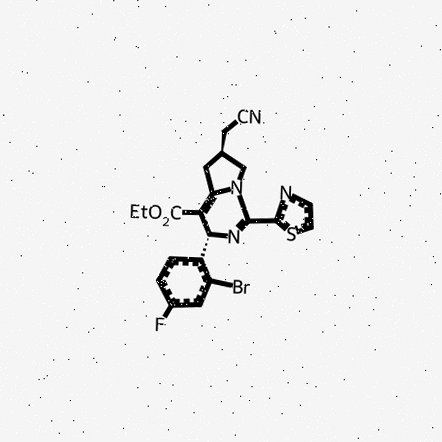 CCOC(=O)C1=C2C[C@@H](CC#N)CN2C(c2nccs2)=N[C@@H]1c1ccc(F)cc1Br